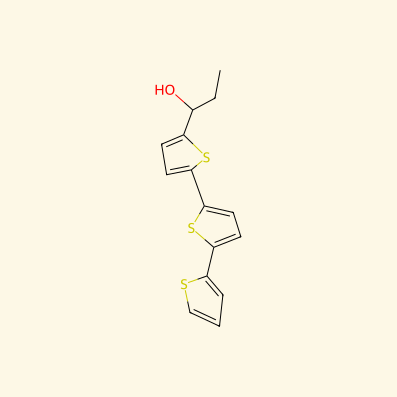 CCC(O)c1ccc(-c2ccc(-c3cccs3)s2)s1